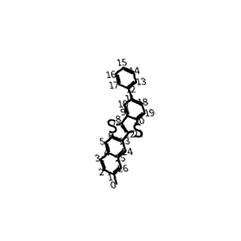 Cc1ccc2cc3sc4c5cc(-c6ccccc6)ccc5sc4c3cc2c1